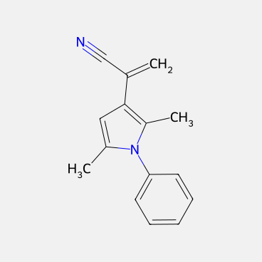 C=C(C#N)c1cc(C)n(-c2ccccc2)c1C